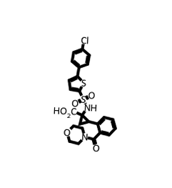 O=C(c1ccccc1C1CC1(NS(=O)(=O)c1ccc(-c2ccc(Cl)cc2)s1)C(=O)O)N1CCOCC1